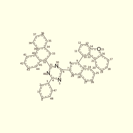 c1ccc(-c2nc(-c3cc(-c4cccc5oc6ccccc6c45)c4ccccc4c3)nc(-c3cc4ccccc4c4ccccc34)n2)cc1